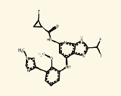 COc1c(Nc2cc(NC(=O)[C@H]3CC3F)nc3[nH]c(C(F)F)nc23)cccc1-c1ncn(C)n1